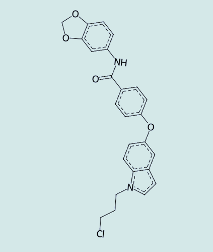 O=C(Nc1ccc2c(c1)OCO2)c1ccc(Oc2ccc3c(ccn3CCCCl)c2)cc1